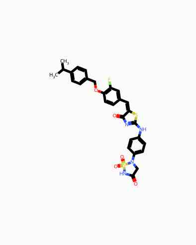 CC(C)c1ccc(COc2ccc(C=C3SC(Nc4ccc(N5CC(=O)NS5(=O)=O)cc4)=NC3=O)cc2F)cc1